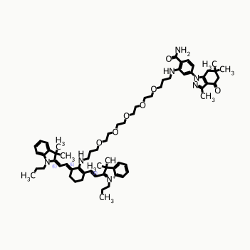 CCCN1/C(=C/C=C2\CCCC(/C=C/C3=[N+](CCC)c4ccccc4C3(C)C)=C2NCCCOCCOCCOCCOCCOCCCNc2cc(-n3nc(C)c4c3CC(C)(C)CC4=O)ccc2C(N)=O)C(C)(C)c2ccccc21